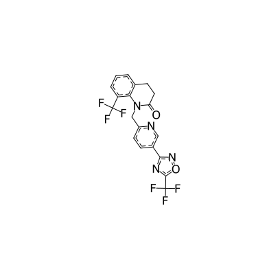 O=C1CCc2cccc(C(F)(F)F)c2N1Cc1ccc(-c2noc(C(F)(F)F)n2)cn1